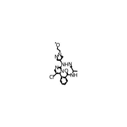 COCCn1cc(Nc2ncc(Cl)c(-c3ccccc3C(=O)NC(C)C#N)n2)cn1